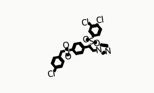 O=S(=O)(Cc1ccc(Cl)cc1)c1ccc(C(Cn2ccnc2)S(=O)(=O)c2ccc(Cl)c(Cl)c2)cc1